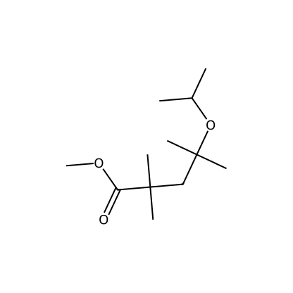 COC(=O)C(C)(C)CC(C)(C)OC(C)C